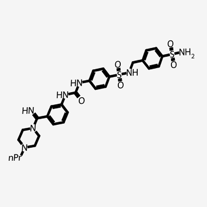 CCCN1CCN(C(=N)c2cccc(NC(=O)Nc3ccc(S(=O)(=O)NCc4ccc(S(N)(=O)=O)cc4)cc3)c2)CC1